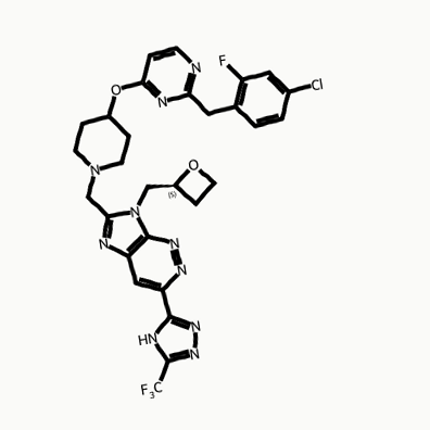 Fc1cc(Cl)ccc1Cc1nccc(OC2CCN(Cc3nc4cc(-c5nnc(C(F)(F)F)[nH]5)nnc4n3C[C@@H]3CCO3)CC2)n1